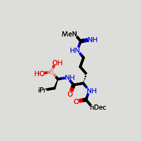 CCCCCCCCCCC(=O)N[C@@H](CCCNC(=N)NC)C(=O)N[C@@H](CC(C)C)B(O)O